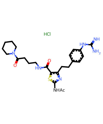 CC(=O)Nc1nc(CCc2ccc(NC(=N)N)cc2)c(C(=O)NCCCC(=O)N2CCCCC2)s1.Cl